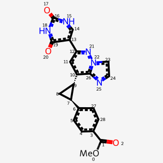 COC(=O)c1ccc([C@H]2C[C@@H]2c2cc(-c3c[nH]c(=O)[nH]c3=O)nn3ccnc23)cc1